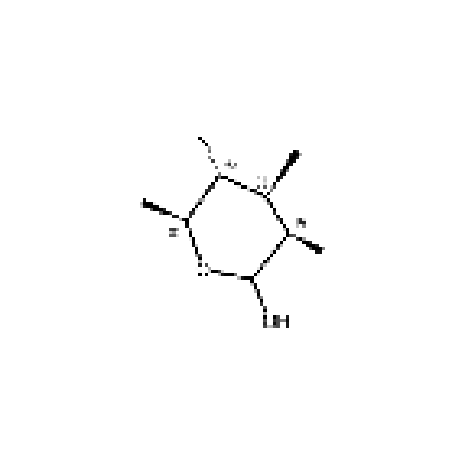 C[C@@H]1[C@@H](C)[C@@H](C)C(O)O[C@H]1C